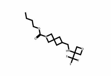 CCCCOC(=O)N1CC2(CC(CNC3(C(F)(F)F)COC3)C2)C1